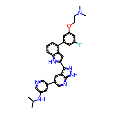 CC(C)Nc1cncc(-c2cnc3[nH]nc(-c4cc5c(-c6cc(F)cc(OCCN(C)C)c6)cccc5[nH]4)c3c2)c1